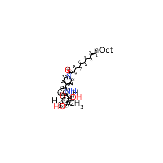 CCCCCCCCC=CCCCCCCCC(=O)N1CCC(C(CC(=O)O)NC(=O)C(O)C(C)(C)CO)CC1